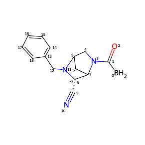 BC(=O)N1CC2CC1[C@H](C#N)N2Cc1ccccc1